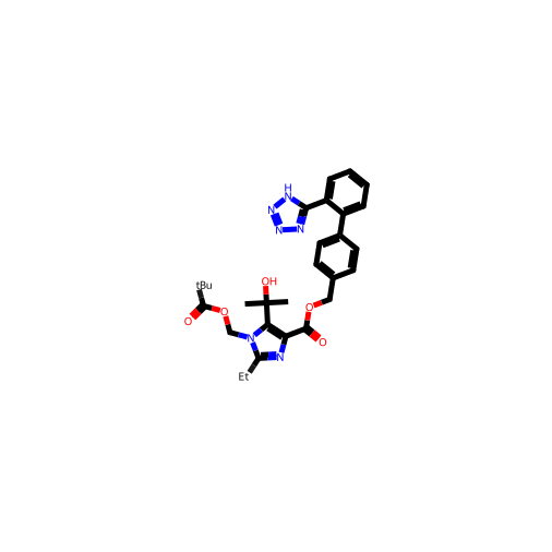 CCc1nc(C(=O)OCc2ccc(-c3ccccc3-c3nnn[nH]3)cc2)c(C(C)(C)O)n1COC(=O)C(C)(C)C